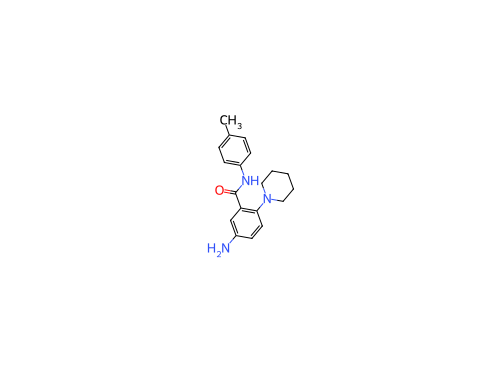 Cc1ccc(NC(=O)c2cc(N)ccc2N2CCCCC2)cc1